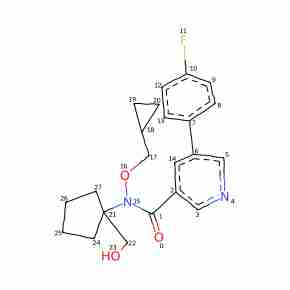 O=C(c1cncc(-c2ccc(F)cc2)c1)N(OCC1CC1)C1(CO)CCCC1